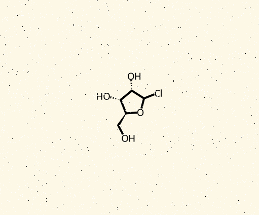 OC[C@@H]1OC(Cl)[C@@H](O)[C@H]1O